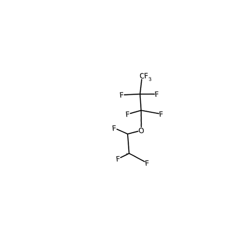 F[C](F)C(F)OC(F)(F)C(F)(F)C(F)(F)F